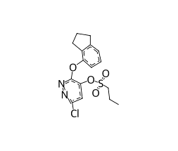 CCCS(=O)(=O)Oc1cc(Cl)nnc1Oc1cccc2c1CCC2